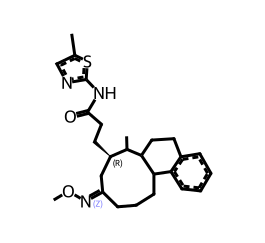 CO/N=C1/CCCC2c3ccccc3CCC2C(C)[C@H](CCC(=O)Nc2ncc(C)s2)C1